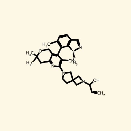 C=CC(O)N1CC2(CCN(c3nc4c(c(-c5c(C)ccc6cnn(C)c56)c3C#N)COC(C)(C)C4)C2)C1